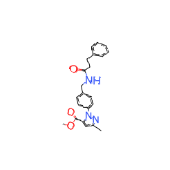 COC(=O)c1cc(C)nn1-c1ccc(CNC(=O)CCc2ccccc2)cc1